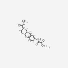 COC(=O)C(=O)Nc1cnc(OC2CCC(C(=O)OC)CC2)c(Cl)c1